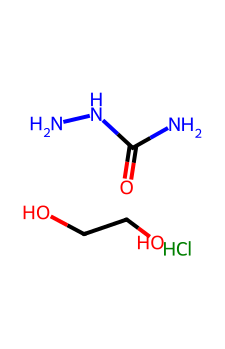 Cl.NNC(N)=O.OCCO